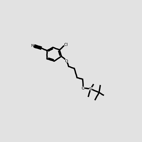 CC(C)(C)[Si](C)(C)OCCCCOc1ccc(C#N)cc1Cl